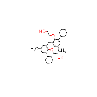 Cc1cc(Cc2cc(C)cc(C3CCCCC3)c2OCCO)c(OCCO)c(C2CCCCC2)c1